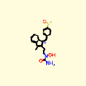 CC1=C(CCN(O)C(N)=O)/C(=C/c2ccc([S+](C)[O-])cc2)c2ccccc21